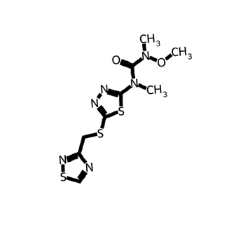 CON(C)C(=O)N(C)c1nnc(SCc2ncsn2)s1